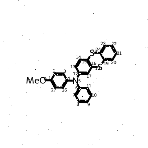 COc1ccc(N(c2ccccc2)c2ccc3c(c2)Sc2ccccc2S3)cc1